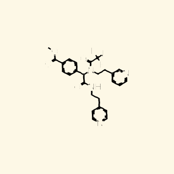 COC(=O)c1ccc(C(C(=O)NCCc2ccncc2)N(CCc2cccnc2)C(=O)C(F)(F)F)cc1